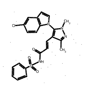 Cc1nn(C)c(-n2ccc3cc(Cl)ccc32)c1C=CC(=O)NS(=O)(=O)c1ccccc1